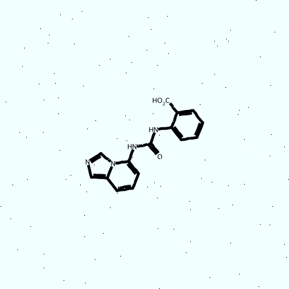 O=C(Nc1ccccc1C(=O)O)Nc1cccc2cncn12